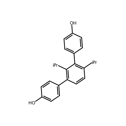 CC(C)c1ccc(-c2ccc(O)cc2)c(C(C)C)c1-c1ccc(O)cc1